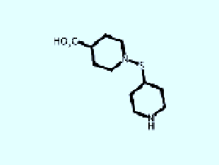 O=C(O)C1CCN(SC2CCNCC2)CC1